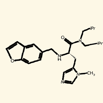 CC(C)CN(CC(C)C)C(=O)[C@H](Cc1cncn1C)NCc1ccc2occc2c1